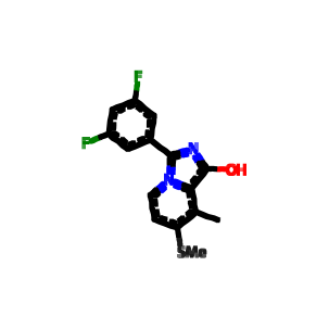 CSc1ccn2c(-c3cc(F)cc(F)c3)nc(O)c2c1C